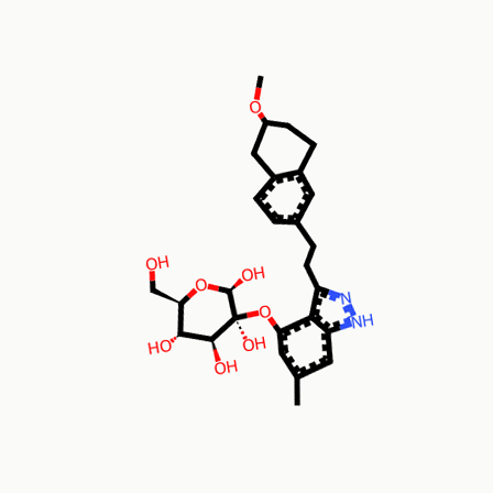 COC1CCc2cc(CCc3n[nH]c4cc(C)cc(O[C@]5(O)[C@H](O)O[C@H](CO)[C@@H](O)[C@@H]5O)c34)ccc2C1